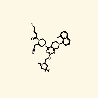 Cc1cccc2cccc(N3CCc4c(nc(OCC5CC(F)(F)CN5C)nc4N4CCN(C(=O)/C=C/CO)C(CC#N)C4)C3)c12